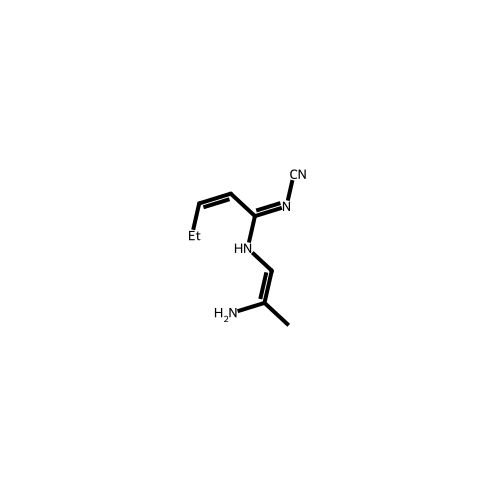 CC/C=C\C(=N/C#N)N/C=C(/C)N